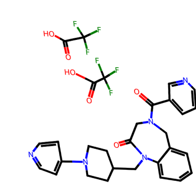 O=C(O)C(F)(F)F.O=C(O)C(F)(F)F.O=C(c1cccnc1)N1CC(=O)N(CC2CCN(c3ccncc3)CC2)c2ccccc2C1